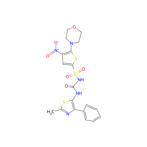 Cc1nc(-c2ccccc2)c(NC(=O)NS(=O)(=O)c2cc([N+](=O)[O-])c(N3CCOCC3)s2)s1